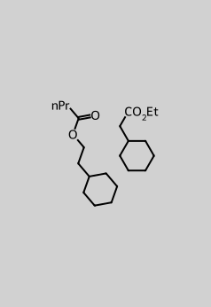 CCCC(=O)OCCC1CCCCC1.CCOC(=O)CC1CCCCC1